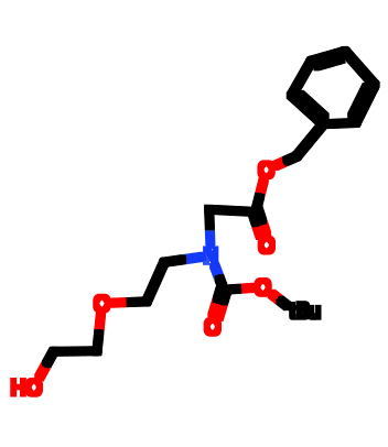 CC(C)(C)OC(=O)N(CCOCCO)CC(=O)OCc1ccccc1